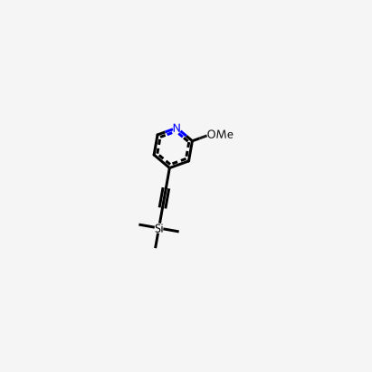 COc1cc(C#C[Si](C)(C)C)ccn1